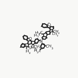 Cc1cc(C)cc(N(c2ccc3c(c2)C(C)(C)c2cc4c(cc2-3)C(C)(C)c2ccc3oc5ccccc5c3c2-4)c2ccc3c(c2)C(C)(C)c2c4c(c5c(oc6ccccc65)c2-3)-c2ccccc2C4(C)C)c1